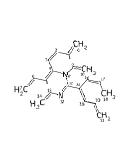 C=C/C=C\C(=C/C=C)N(C=C)C(=N\C=C)/C(/C=C\C)=C/C=C